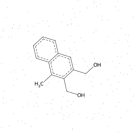 Cc1c(CO)c(CO)cc2ccccc12